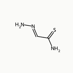 NN=CC(N)=S